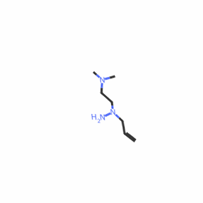 C=CCN(N)CCN(C)C